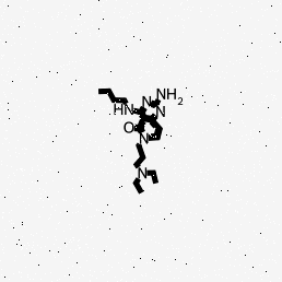 CCCCNc1nc(N)nc2ccn(CCCN(CC)CC)c(=O)c12